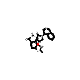 CCNC[C@H]1CN(c2cncc3ccccc23)C(=O)[C@@]12CNC(=O)c1ccc(Cl)cc12